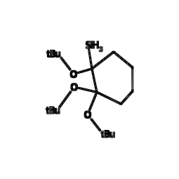 CC(C)(C)OC1([SiH3])CCCCC1(OC(C)(C)C)OC(C)(C)C